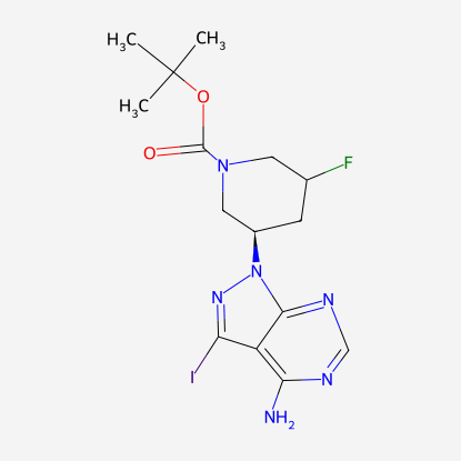 CC(C)(C)OC(=O)N1CC(F)C[C@@H](n2nc(I)c3c(N)ncnc32)C1